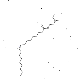 CCCCCCCC/C=C\CCCCCCCC(=O)OCCN(C)CC